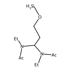 CCN(C(C)=O)C(CCO[SiH3])N(CC)C(C)=O